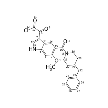 COc1cc2[nH]cc(C(=O)C(=O)Cl)c2cc1C(=O)N1CCC(Cc2ccccc2)CC1